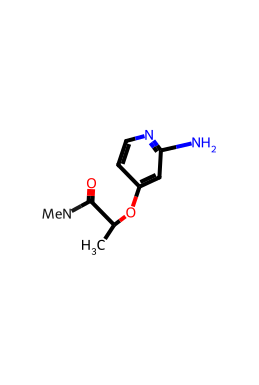 CNC(=O)C(C)Oc1ccnc(N)c1